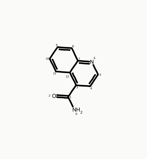 NC(=O)c1[c]cnc2ccccc12